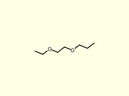 [CH2]CCOCCOC[CH2]